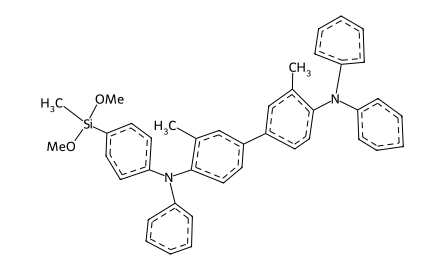 CO[Si](C)(OC)c1ccc(N(c2ccccc2)c2ccc(-c3ccc(N(c4ccccc4)c4ccccc4)c(C)c3)cc2C)cc1